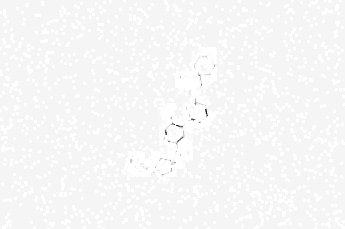 CC(C)N[C@@H]1CC[C@@H](Nc2cc(-c3cccc(NCC4(C#N)CCOCC4)n3)c(Cl)cn2)C1